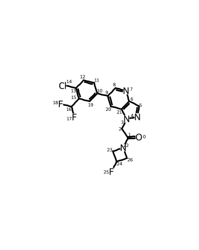 O=C(Cn1ncc2ncc(-c3ccc(Cl)c(C(F)F)c3)cc21)N1CC(F)C1